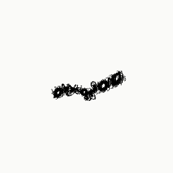 COc1cc(OCC(=O)Nc2nc3ccccc3[nH]2)ccc1C(=O)C=CC(=O)N1CCC(N2CCN(C)C(C)C2)CC1